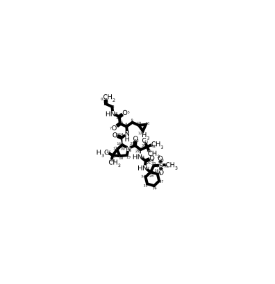 C=CCNC(=O)C(=O)C(CC1CC1)NC(=O)[C@@H]1C2C(CN1C(=O)[C@@H](NC(=O)NC1(CS(C)(=O)=O)CCCCC1)C(C)(C)C)C2(C)C